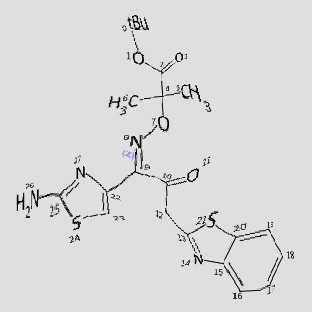 CC(C)(C)OC(=O)C(C)(C)O/N=C(\C(=O)Cc1nc2ccccc2s1)c1csc(N)n1